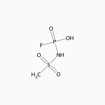 CS(=O)(=O)NP(=O)(O)F